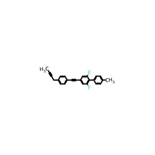 CC#CCc1ccc(C#Cc2cc(F)c(-c3ccc(C)cc3)c(F)c2)cc1